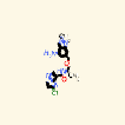 C[C@H](COCc1cc(N)c2cn(C)nc2c1)NC(=O)c1cnn2[c]cc(Cl)nc12